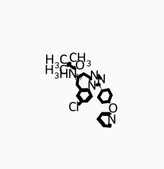 CC(C)(C)C(=O)N[C@@H]1Cc2cc(Cl)ccc2-n2c(nnc2[C@H]2CC[C@H](Oc3ccccn3)CC2)C1